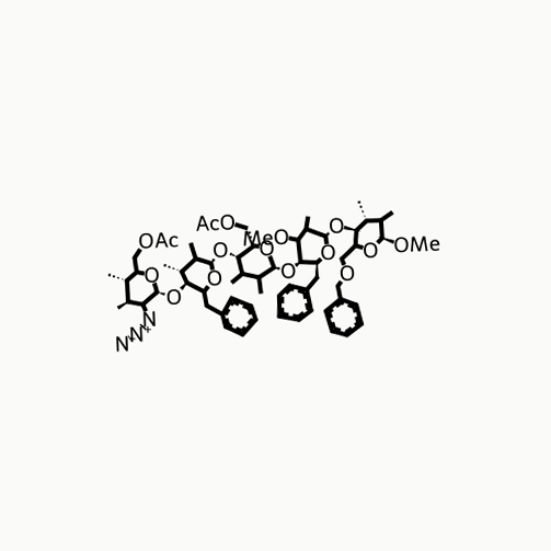 COC1C(C)[C@H](O[C@@H]2C(COCc3ccccc3)O[C@H](OC)C(C)[C@H]2C)O[C@@H](Cc2ccccc2)[C@H]1O[C@H]1O[C@@H](COC(C)=O)[C@@H](O[C@@H]2OC(Cc3ccccc3)[C@@H](O[C@H]3OC(COC(C)=O)[C@@H](C)[C@H](C)C3N=[N+]=[N-])[C@H](C)C2C)C(C)C1C